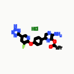 CCCC(=O)Oc1nc(-c2ccc(Oc3ncc(-c4nn[nH]n4)cc3F)cc2)cnc1N.Cl